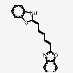 C(=CC=C1Nc2ccccc2O1)C=Cc1nc2ccccc2o1